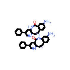 Nc1ccc2c(c1)C(=O)Nc1cc(-c3ccccc3)cnc1/C=C\2.Nc1ccc2c(c1)NC(=O)c1cc(-c3ccccc3)cnc1/C=C\2